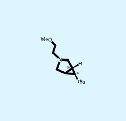 COCCN1CC2[C@H](C1)[C@H]2C(C)(C)C